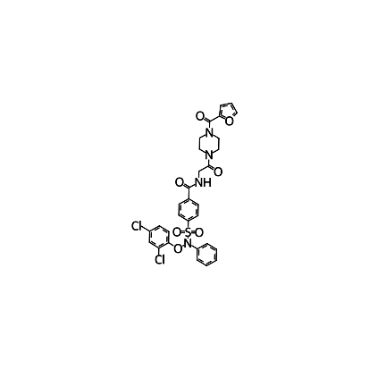 O=C(NCC(=O)N1CCN(C(=O)c2ccco2)CC1)c1ccc(S(=O)(=O)N(Oc2ccc(Cl)cc2Cl)c2ccccc2)cc1